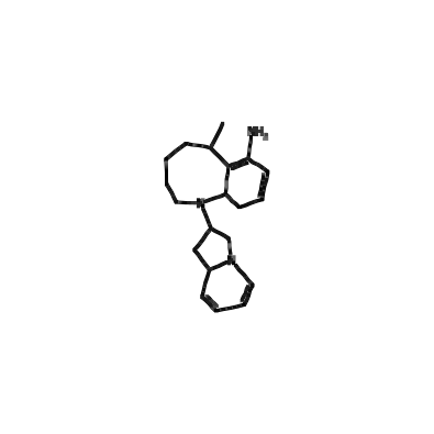 CC1CCCCN(C2CC3C=CC=CN3C2)C2CC=CC(N)=C12